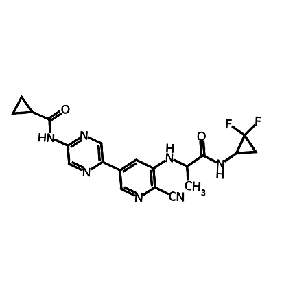 CC(Nc1cc(-c2cnc(NC(=O)C3CC3)cn2)cnc1C#N)C(=O)NC1CC1(F)F